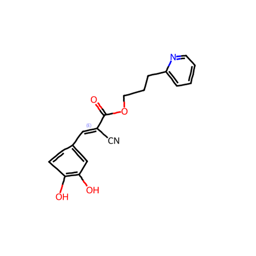 N#C/C(=C\c1ccc(O)c(O)c1)C(=O)OCCCc1ccccn1